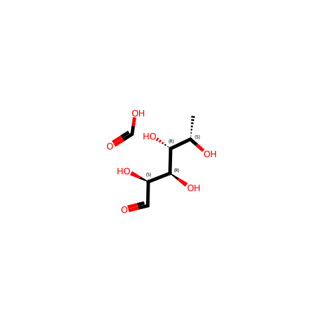 C[C@H](O)[C@@H](O)[C@@H](O)[C@H](O)C=O.O=CO